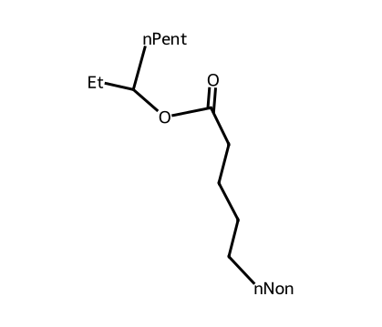 CCCCCCCCCCCCCC(=O)OC(CC)CCCCC